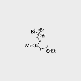 CCOCCC(CCC(Br)(Br)Br)OC